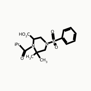 CC(C)C(=O)N1C(C(=O)O)CN(S(=O)(=O)c2ccccc2)CC1(C)C